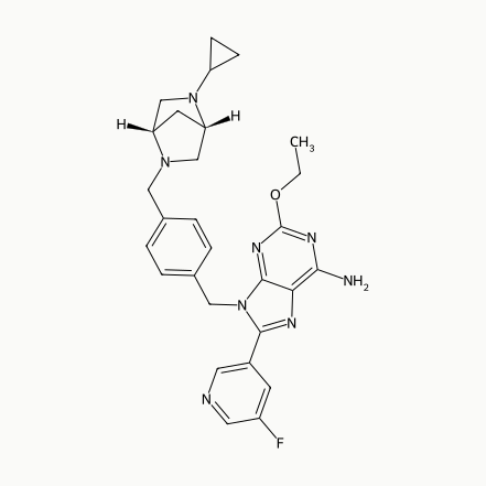 CCOc1nc(N)c2nc(-c3cncc(F)c3)n(Cc3ccc(CN4C[C@@H]5C[C@H]4CN5C4CC4)cc3)c2n1